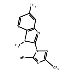 CCCc1nc(C(F)(F)F)nn1-c1nc2cc(C)cnc2n1C